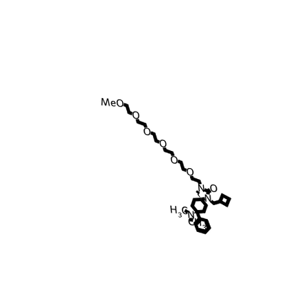 COCCOCCOCCOCCOCCOCCN1C[C@]2(CC[C@@](c3ccccc3)(N(C)C)CC2)N(CC2CCC2)C1=O